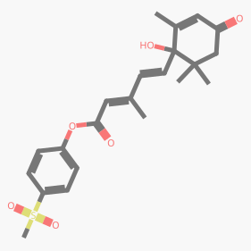 CC1=CC(=O)CC(C)(C)C1(O)/C=C/C(C)=C/C(=O)Oc1ccc(S(C)(=O)=O)cc1